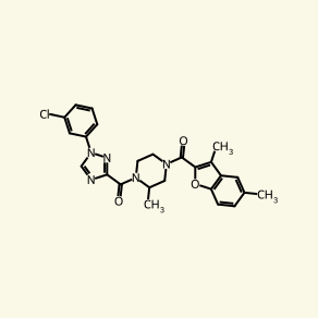 Cc1ccc2oc(C(=O)N3CCN(C(=O)c4ncn(-c5cccc(Cl)c5)n4)C(C)C3)c(C)c2c1